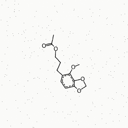 COc1c(CCCOC(C)=O)ccc2c1OCO2